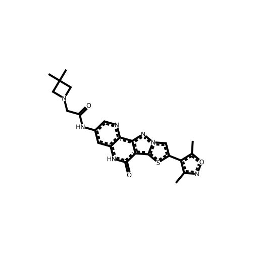 Cc1noc(C)c1-c1cn2nc3c4ncc(NC(=O)CN5CC(C)(C)C5)cc4[nH]c(=O)c3c2s1